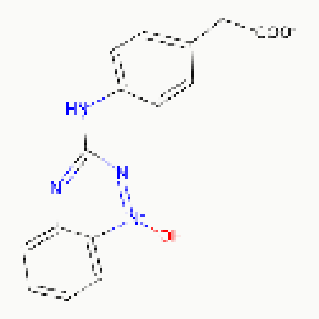 O=C([O-])Cc1ccc(Nc2nc3ccccc3[n+](O)n2)cc1